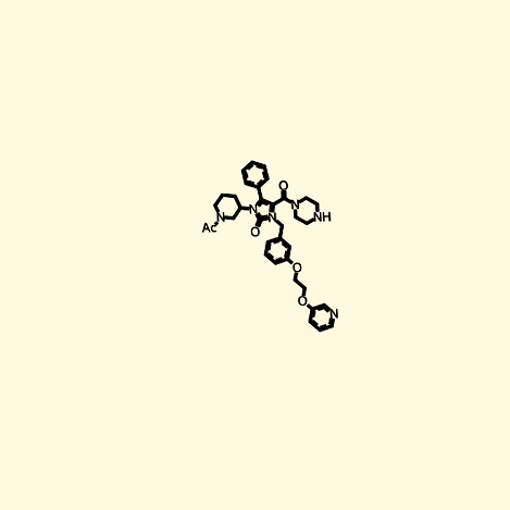 CC(=O)N1CCCC(n2c(-c3ccccc3)c(C(=O)N3CCNCC3)n(Cc3cccc(OCCOc4cccnc4)c3)c2=O)C1